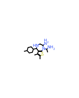 Cc1sc2c(c1C)C(C1CCC(C)CC1)NCC(N)N2C(C)N